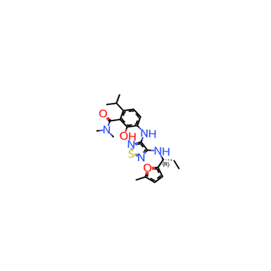 CC[C@@H](Nc1nsnc1Nc1ccc(C(C)C)c(C(=O)N(C)C)c1O)c1ccc(C)o1